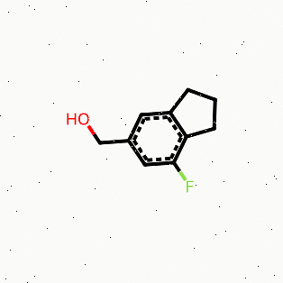 OCc1cc(F)c2c(c1)CCC2